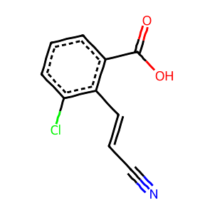 N#CC=Cc1c(Cl)cccc1C(=O)O